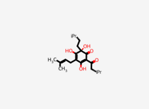 CC(C)=CCC1=C(O)[C@](O)(CCC(C)C)C(=O)C(C(=O)CC(C)C)=C1O